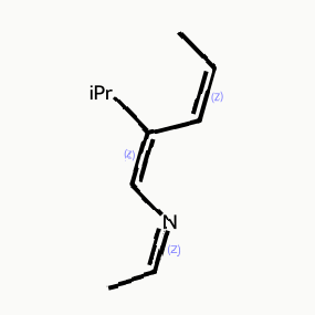 C\C=C/C(=C\N=C/C)C(C)C